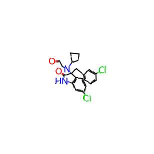 O=CCN(C1CCC1)C1(Cc2cccc(Cl)c2)C(=O)Nc2cc(Cl)ccc21